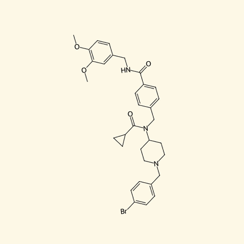 COc1ccc(CNC(=O)c2ccc(CN(C(=O)C3CC3)C3CCN(Cc4ccc(Br)cc4)CC3)cc2)cc1OC